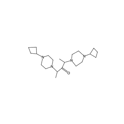 CC(C(=O)C(C)N1CCN(C2CCC2)CC1)N1CCN(C2CCC2)CC1